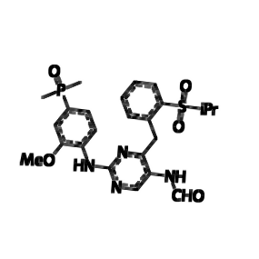 COc1cc(P(C)(C)=O)ccc1Nc1ncc(NC=O)c(Cc2ccccc2S(=O)(=O)C(C)C)n1